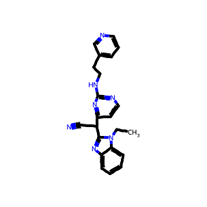 CCn1c(C(C#N)c2ccnc(NCCc3cccnc3)n2)nc2ccccc21